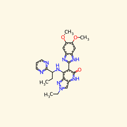 CCC(Nc1c(-c2nc3cc(OC)c(OC)cc3[nH]2)c(=O)[nH]c2cn(CC)nc12)c1ncccn1